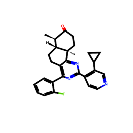 C[C@H]1C(=O)CC[C@@]2(C)c3nc(-c4ccncc4C4CC4)nc(-c4ccccc4F)c3CC[C@H]12